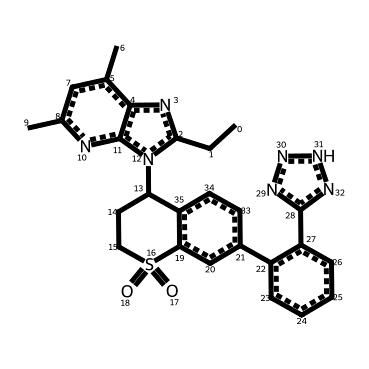 CCc1nc2c(C)cc(C)nc2n1C1CCS(=O)(=O)c2cc(-c3ccccc3-c3nn[nH]n3)ccc21